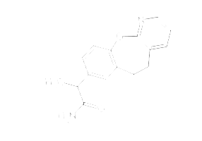 CC(C(N)=O)c1ccc2c(c1)CCc1cccnc1O2